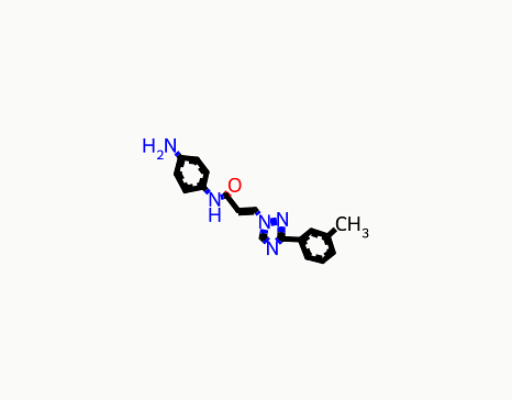 Cc1cccc(-c2ncn(/C=C/C(=O)Nc3ccc(N)cc3)n2)c1